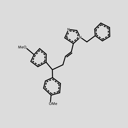 COc1ccc(C(C/C=C/c2cncn2Cc2ccccc2)c2ccc(OC)cc2)cc1